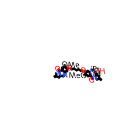 C=C1CC2C=Nc3cc(OCCCCCOc4cc5c(cc4OC)C(=O)N4CC(=C)C[C@H]4[C@H](O)N5C(C)C)c(OC)cc3C(=O)N2C1